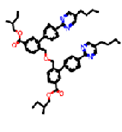 CCCCc1cnc(-c2ccc(-c3cc(C(=O)OCC(C)CC)ccc3COCc3ccc(C(=O)OCC(C)CC)cc3-c3ccc(-c4ncc(CCCC)cn4)cc3)cc2)nc1